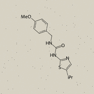 COc1ccc(CNC(=O)Nc2ncc(C(C)C)s2)cc1